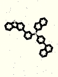 c1cc(-c2ccc3sc4ccccc4c3c2)cc(N(c2ccc(-c3cccc4ccccc34)cc2)c2ccc3ccccc3c2)c1